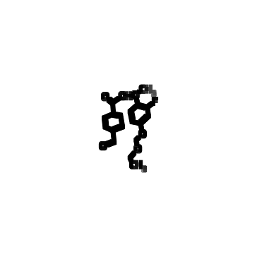 CCOCOc1ccc(OC)c(F)c1.O=Cc1ccc(C(=O)O)cc1